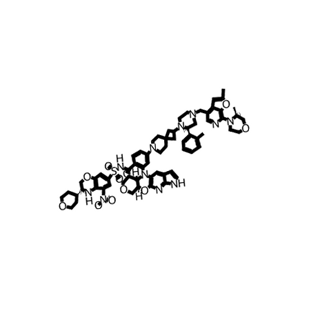 Cc1cc2c(CN3CCN(C4CC5(CCN(c6ccc(C(=O)NS(=O)(=O)c7cc8c(c([N+](=O)[O-])c7)N[C@H](C7CCOCC7)CO8)c(N7c8cc9cc[nH]c9nc8O[C@H]8COCC[C@@H]87)c6)CC5)C4)[C@H](c4ccccc4C)C3)cnc(N3CCOC[C@@H]3C)c2o1